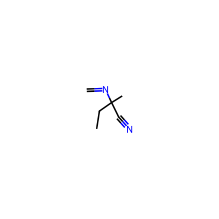 C=NC(C)(C#N)CC